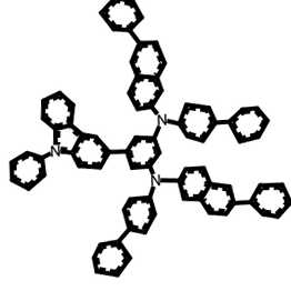 c1ccc(-c2ccc(N(c3cc(-c4ccc5c(c4)c4ccccc4n5-c4ccccc4)cc(N(c4ccc(-c5ccccc5)cc4)c4ccc5cc(-c6ccccc6)ccc5c4)c3)c3ccc4cc(-c5ccccc5)ccc4c3)cc2)cc1